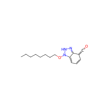 CCCCCCCCON1NN=c2c1cccc2=C=O